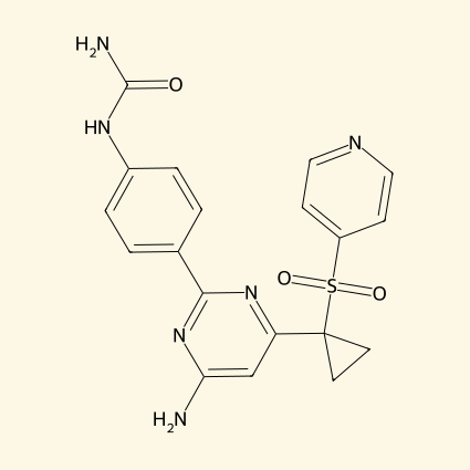 NC(=O)Nc1ccc(-c2nc(N)cc(C3(S(=O)(=O)c4ccncc4)CC3)n2)cc1